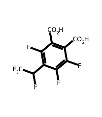 O=C(O)c1c(F)c(F)c(C(F)C(F)(F)F)c(F)c1C(=O)O